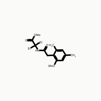 CCC(CC)(NC(=O)Cc1c(C)cc(C)cc1OC)C(=O)OC